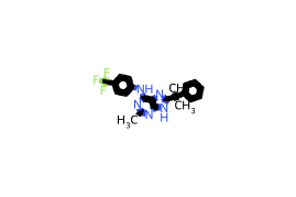 Cc1nc(Nc2ccc(C(F)(F)F)cc2)c2nc(C(C)(C)c3ccccc3)[nH]c2n1